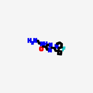 NCCNC(=O)c1cnc(CCC2(c3ncccc3F)CCC2)nc1